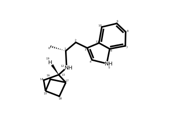 C[C@H](Cc1c[nH]c2ccccc12)N[C@H]1CC2CC1C2